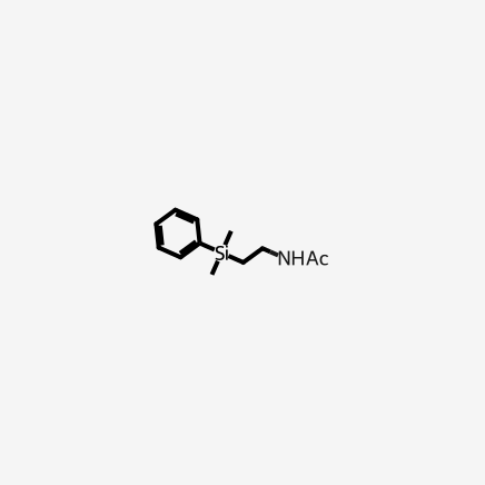 CC(=O)NCC[Si](C)(C)c1ccccc1